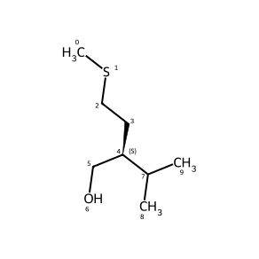 CSCC[C@H](CO)C(C)C